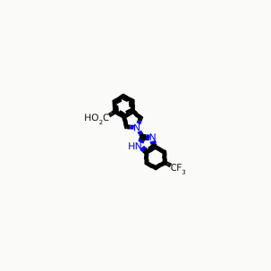 O=C(O)c1cccc2c1CN(c1nc3c([nH]1)CCC(C(F)(F)F)C3)C2